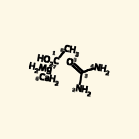 CC(=O)O.NC(N)=O.[CaH2].[MgH2]